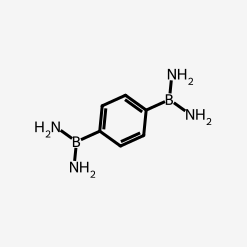 NB(N)c1ccc(B(N)N)cc1